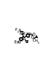 CCOc1ccc2c(-c3nc(C(F)(F)F)co3)c(-c3ccc(NC(=O)OC(C)C4CC4)cc3)n(C3CCC3)c2c1